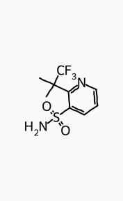 CC(C)(c1ncccc1S(N)(=O)=O)C(F)(F)F